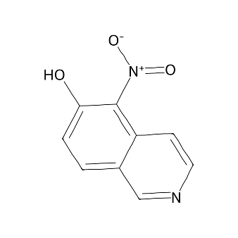 O=[N+]([O-])c1c(O)ccc2cnccc12